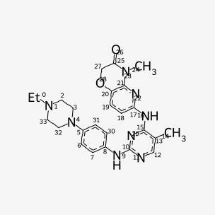 CCN1CCN(c2ccc(Nc3ncc(C)c(Nc4ccc5c(n4)N(C)C(=O)CO5)n3)cc2)CC1